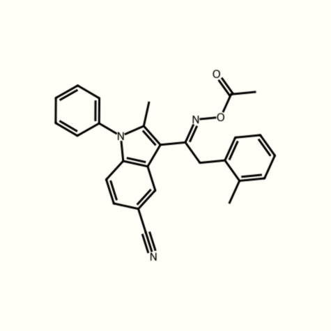 CC(=O)O/N=C(\Cc1ccccc1C)c1c(C)n(-c2ccccc2)c2ccc(C#N)cc12